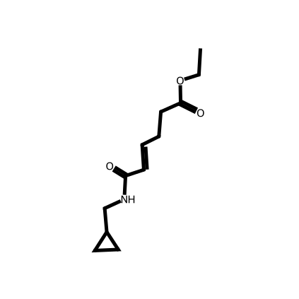 CCOC(=O)CC/C=C/C(=O)NCC1CC1